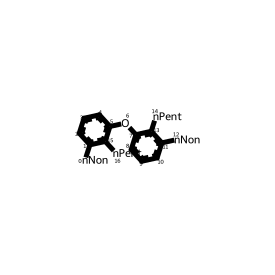 CCCCCCCCCc1cccc(Oc2cccc(CCCCCCCCC)c2CCCCC)c1CCCCC